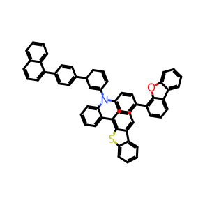 C1=CC(N(c2ccc(-c3cccc4c3oc3ccccc34)cc2)c2ccccc2-c2cccc3c2sc2ccccc23)=CC(c2ccc(-c3cccc4ccccc34)cc2)C1